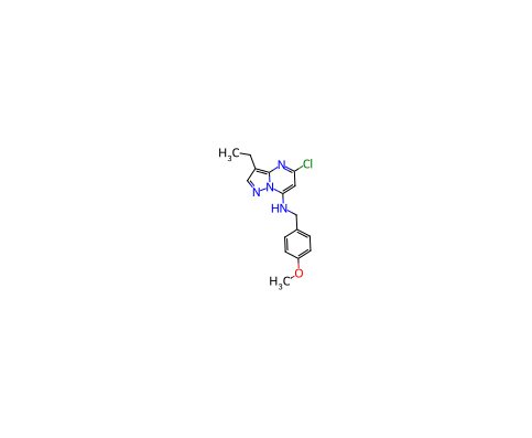 CCc1cnn2c(NCc3ccc(OC)cc3)cc(Cl)nc12